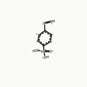 N=Nc1ccc([As](=O)(O)O)cc1